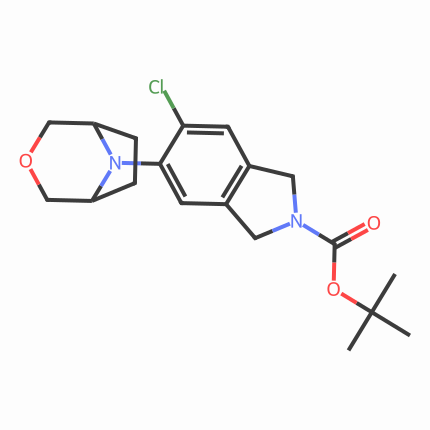 CC(C)(C)OC(=O)N1Cc2cc(Cl)c(N3C4CCC3COC4)cc2C1